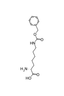 N[C@H](CCCCCNC(=O)OCc1ccccc1)C(=O)O